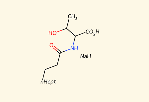 CCCCCCCCCC(=O)NC(C(=O)O)C(C)O.[NaH]